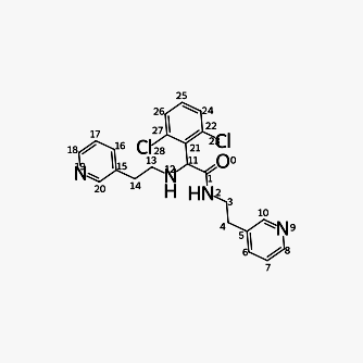 O=C(NCCc1cccnc1)C(NCCc1cccnc1)c1c(Cl)cccc1Cl